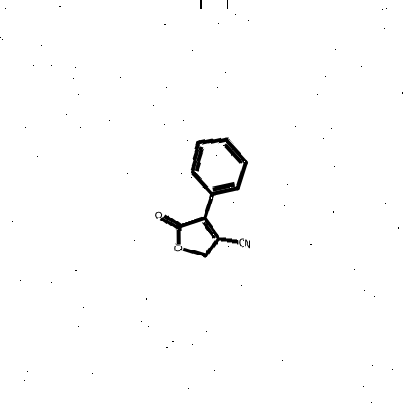 N#CC1=C(c2ccccc2)C(=O)OC1